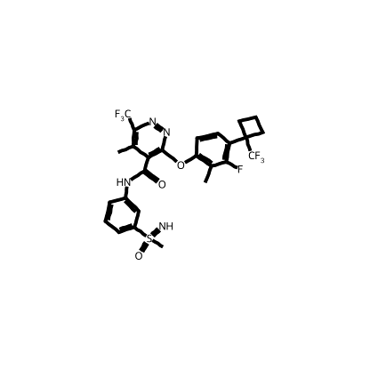 Cc1c(Oc2nnc(C(F)(F)F)c(C)c2C(=O)Nc2cccc(S(C)(=N)=O)c2)ccc(C2(C(F)(F)F)CCC2)c1F